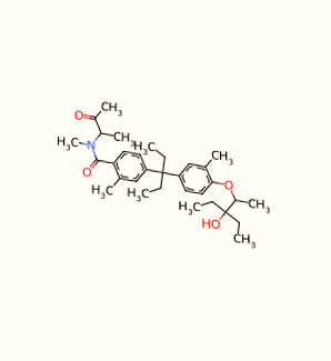 CCC(CC)(c1ccc(OC(C)C(O)(CC)CC)c(C)c1)c1ccc(C(=O)N(C)C(C)C(C)=O)c(C)c1